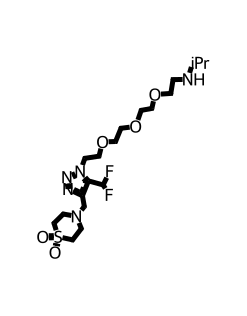 CC(C)NCCOCCOCCOCCn1nnc(CN2CCS(=O)(=O)CC2)c1C(F)F